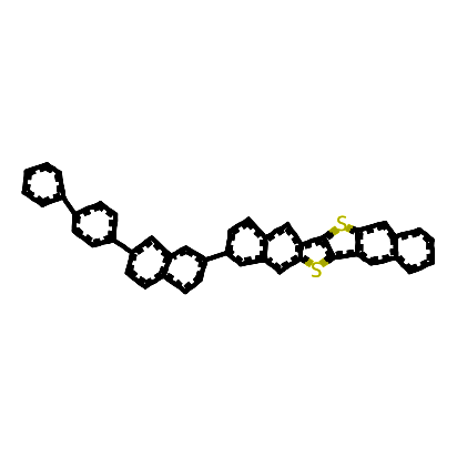 c1ccc(-c2ccc(-c3ccc4ccc(-c5ccc6cc7c(cc6c5)sc5c6cc8ccccc8cc6sc75)cc4c3)cc2)cc1